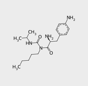 CCCCCN(C(=O)NC(C)C)C(=O)[C@@H](N)Cc1ccc(N)cc1